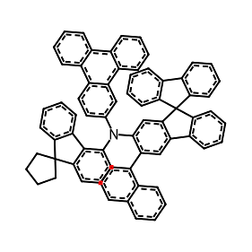 c1ccc2c(c1)-c1c(N(c3ccc4c5ccccc5c5ccccc5c4c3)c3cc4c(cc3-c3cccc5ccccc35)-c3ccccc3C43c4ccccc4-c4ccccc43)cccc1C21CCCC1